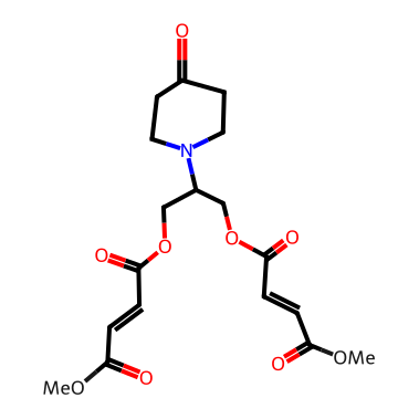 COC(=O)/C=C/C(=O)OCC(COC(=O)/C=C/C(=O)OC)N1CCC(=O)CC1